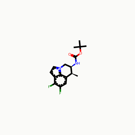 C[C@H]1c2cc(F)c(F)c3ccn(c23)C[C@H]1NC(=O)OC(C)(C)C